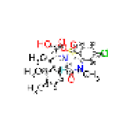 Cc1ccc(F)c(C(C)[C@@H](C(=O)O)N2CC(=O)N(C)c3cc(Cl)ccc3S2(=O)=O)c1C